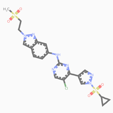 CS(=O)(=O)CCn1cc2ccc(Nc3ncc(Cl)c(-c4cnn(S(=O)(=O)C5CC5)c4)n3)cc2n1